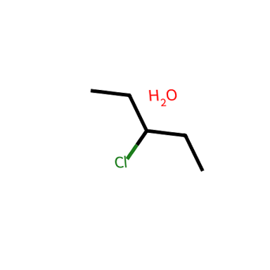 CCC(Cl)CC.O